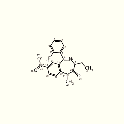 CCC1N=C(c2ccccc2F)c2cc([N+](=O)[O-])ccc2N(C)C1=O